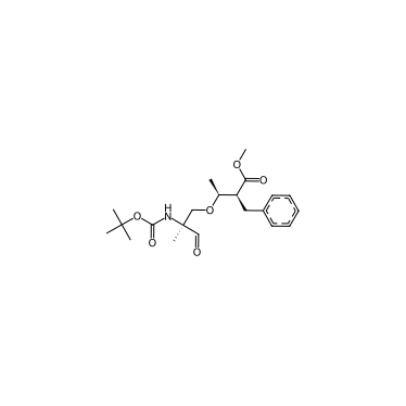 COC(=O)[C@@H](Cc1ccccc1)[C@H](C)OC[C@@](C)(C=O)NC(=O)OC(C)(C)C